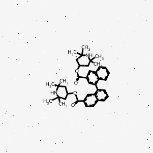 CC1(C)CC(OC(=O)c2cc(-c3cccc4ccc(C(=O)OC5CC(C)(C)NC(C)(C)C5)cc34)c3ccccc3c2)CC(C)(C)N1